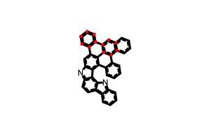 c1ccc(-c2ccccc2-c2c(-c3ccccc3)cc3c(c2-c2ccccc2-c2cccc4ccccc24)-c2c4c(ccc2=N3)=c2ccccc2=N4)cc1